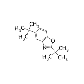 CC(C)(C)c1ccc2oc(C(C)(C)C)nc2c1